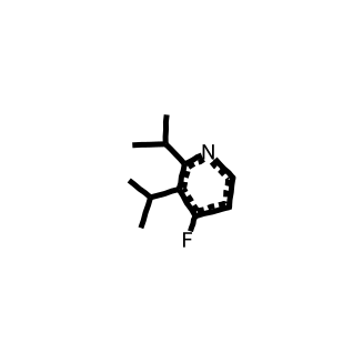 CC(C)c1nccc(F)c1C(C)C